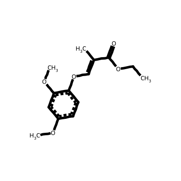 CCOC(=O)/C(C)=C/Oc1ccc(OC)cc1OC